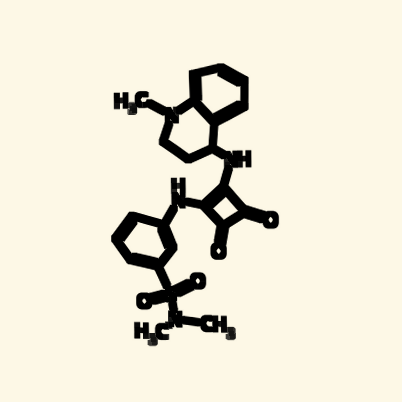 CN1CCC(Nc2c(Nc3cccc(S(=O)(=O)N(C)C)c3)c(=O)c2=O)c2ccccc21